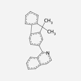 CC1(C)c2ccccc2-c2ccc(-c3nccc4ccccc34)cc21